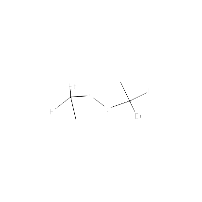 CCC(C)(F)SSC(C)(F)CC